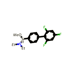 CCN(CC)[SiH](OC)c1ccc(-c2c(F)cc(F)cc2F)cc1